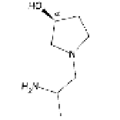 CC(N)CN1CC[C@H](O)C1